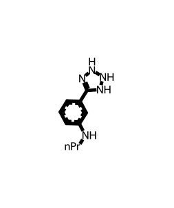 CCCNc1cccc(C2=NNNN2)c1